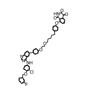 O=C1NC(=O)c2c(Oc3ccc(CCCCCOCCOc4ccc(-c5ccc6ncnc(Nc7ccc(OCc8cccc(F)c8)c(Cl)c7)c6c5)cc4)cc3)cccc2C1=O